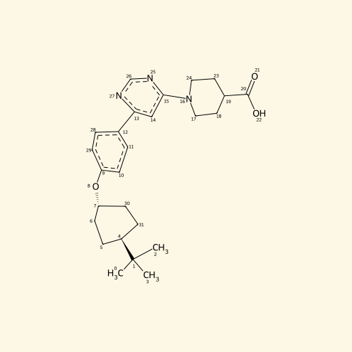 CC(C)(C)[C@H]1CC[C@H](Oc2ccc(-c3cc(N4CCC(C(=O)O)CC4)ncn3)cc2)CC1